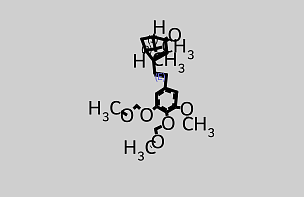 COCOc1cc(/C=C/C2=CC(=O)[C@H]3C[C@@H]2C3(C)C)cc(OC)c1OCOC